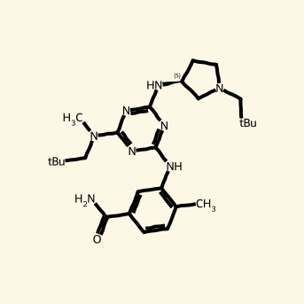 Cc1ccc(C(N)=O)cc1Nc1nc(N[C@H]2CCN(CC(C)(C)C)C2)nc(N(C)CC(C)(C)C)n1